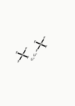 F[B-](F)(F)F.F[B-](F)(F)F.[Li+].[Li+]